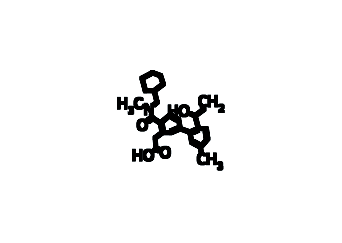 C=CC(O)c1ccc(C)cc1-c1ccc(C(=O)N(C)CC2CCCCC2)c(CC(=O)O)c1